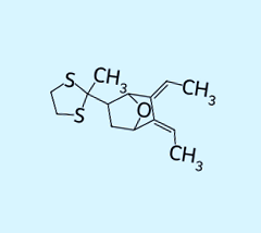 CC=C1/C(=C\C)C2OC1CC2C1(C)SCCS1